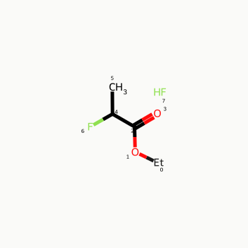 CCOC(=O)C(C)F.F